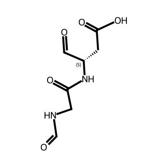 O=CNCC(=O)N[C@H](C=O)CC(=O)O